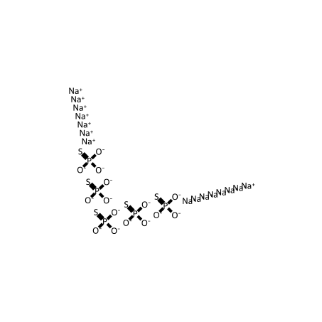 [Na+].[Na+].[Na+].[Na+].[Na+].[Na+].[Na+].[Na+].[Na+].[Na+].[Na+].[Na+].[Na+].[Na+].[Na+].[O-]P([O-])([O-])=S.[O-]P([O-])([O-])=S.[O-]P([O-])([O-])=S.[O-]P([O-])([O-])=S.[O-]P([O-])([O-])=S